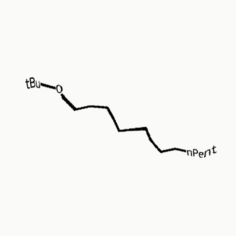 [CH2]CCCCCCCCCOC(C)(C)C